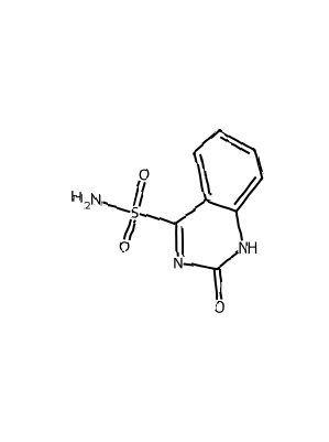 NS(=O)(=O)c1nc(=O)[nH]c2ccccc12